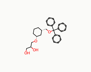 OC[C@H](O)CO[C@@H]1CCC[C@H](COC(c2ccccc2)(c2ccccc2)c2ccccc2)C1